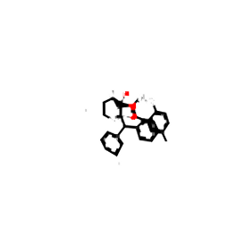 COc1ccc(C(C)C)cc1CN[C@H]1[C@H]2CCN(C[C@@H]2C(N)=O)[C@H]1C(c1ccccc1)c1ccccc1.Cl.Cl